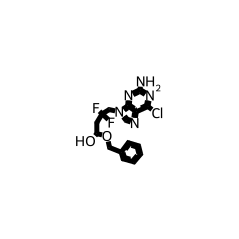 Nc1nc(Cl)c2ncn(CC(F)(F)CC(O)OCc3ccccc3)c2n1